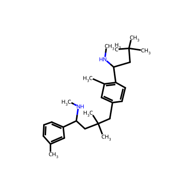 CNC(CC(C)(C)Cc1ccc(C(CC(C)(C)C)NC)c(C)c1)c1cccc(C)c1